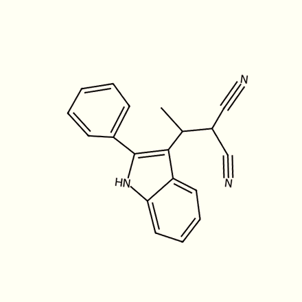 CC(c1c(-c2ccccc2)[nH]c2ccccc12)C(C#N)C#N